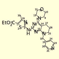 CCOC(=O)c1sc(Nc2nc(N3CCOCC3)c3c(n2)N(Cc2ccncc2)CCC3)nc1C